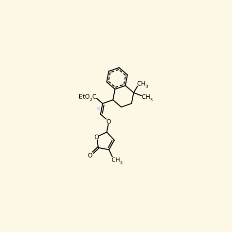 CCOC(=O)/C(=C/OC1C=C(C)C(=O)O1)C1CCC(C)(C)c2ccccc21